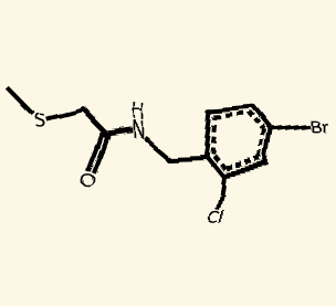 CSCC(=O)NCc1ccc(Br)cc1Cl